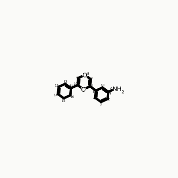 Nc1cccc(C2=COC=C(C3=CC=CCC3)O2)c1